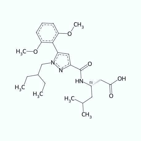 CCC(CC)Cn1nc(C(=O)N[C@H](CC(=O)O)CC(C)C)cc1-c1c(OC)cccc1OC